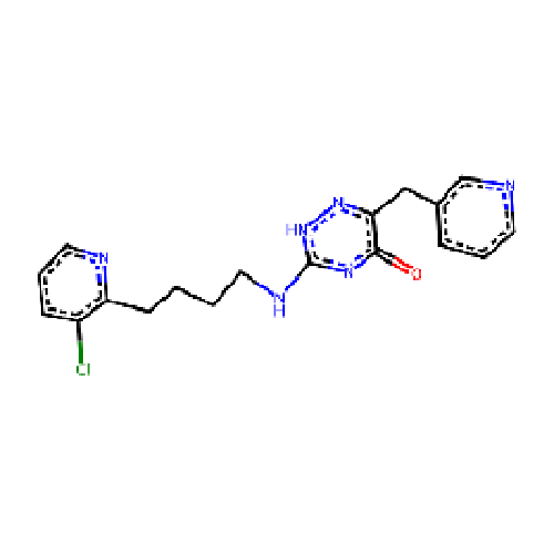 O=c1nc(NCCCCc2ncccc2Cl)[nH]nc1Cc1cccnc1